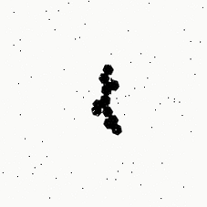 c1ccc(-c2cccc(-n3c4ccccc4c4cc(-c5ccc6c(c5)c5ccc7ccccc7c5n6-c5ccc(-c6ccc7c8c(cccc68)-c6ccccc6-7)cc5)ccc43)c2)cc1